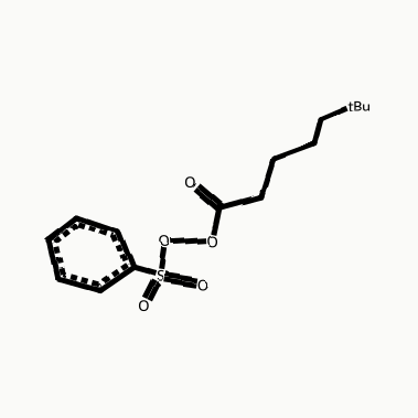 CC(C)(C)CCCCC(=O)OOS(=O)(=O)c1ccccc1